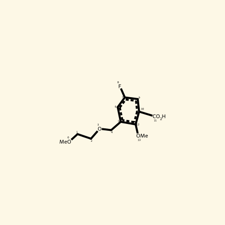 COCCOCc1cc(F)cc(C(=O)O)c1OC